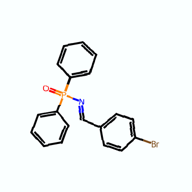 O=P(N=Cc1ccc(Br)cc1)(c1ccccc1)c1ccccc1